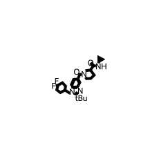 CC(C)(C)c1nc2cc(C(=O)N3CCCC(C(=O)NC4CC4)C3)ccc2n1CC1CCC(F)(F)CC1